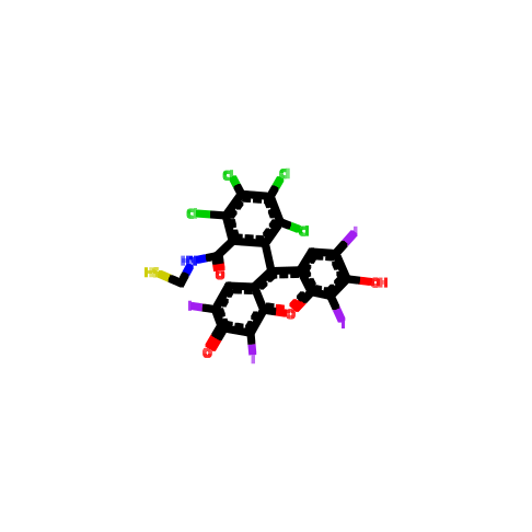 O=C(NCS)c1c(Cl)c(Cl)c(Cl)c(Cl)c1-c1c2cc(I)c(=O)c(I)c-2oc2c(I)c(O)c(I)cc12